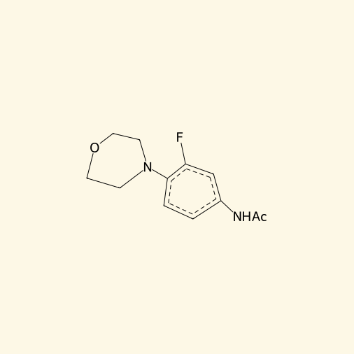 CC(=O)Nc1ccc(N2CCOCC2)c(F)c1